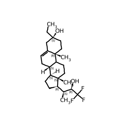 CC[C@]1(O)CC[C@@]2(C)C(=CC[C@@H]3C2CC[C@]2(C)[C@@H]([C@H](C)[C@@H](O)C(F)(F)F)CC[C@@H]32)C1